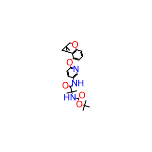 CC(C)(C)OC(=O)NC(C)(C)C(=O)Nc1ccc(Oc2cccc3c2C2CC2(C)CO3)nc1